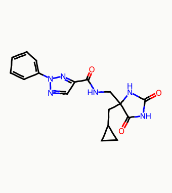 O=C1NC(=O)C(CNC(=O)c2cnn(-c3ccccc3)n2)(CC2CC2)N1